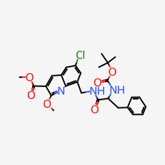 COC(=O)c1cc2cc(Cl)cc(CNC(=O)C(Cc3ccccc3)NC(=O)OC(C)(C)C)c2nc1OC